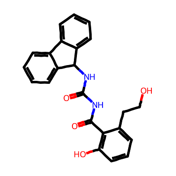 O=C(NC(=O)c1c(O)cccc1CCO)NC1c2ccccc2-c2ccccc21